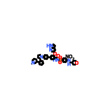 CN1CCCC(c2ccccc2C2CCCN2c2ccc(-c3ccc(C(=O)NS(=O)(=O)c4ccc(NCC5CCOCC5)c([N+](=O)[O-])c4)c(Oc4cnc5[nH]ccc5c4)c3)cc2)C1